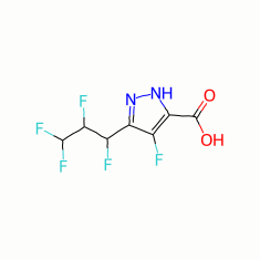 O=C(O)c1[nH]nc(C(F)C(F)C(F)F)c1F